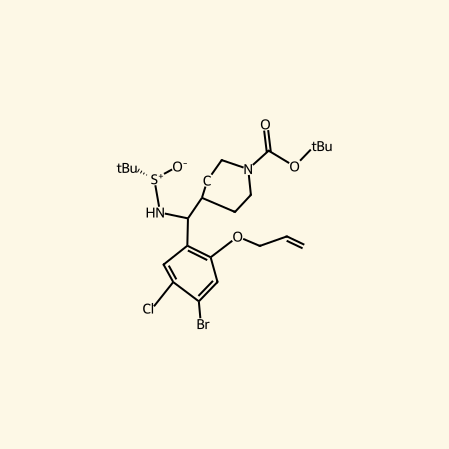 C=CCOc1cc(Br)c(Cl)cc1C(N[S@@+]([O-])C(C)(C)C)C1CCN(C(=O)OC(C)(C)C)CC1